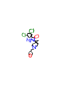 O=C(N[C@@H]1CC12CCN(CCC1CCOCC1)CC2)c1cc(Cl)cc(Cl)c1